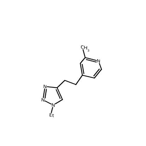 CCn1cc(CCc2ccnc(C)c2)nn1